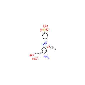 COc1cc(N)c(C(CO)CO)cc1/N=N/c1ccc(S(=O)(=O)O)cc1